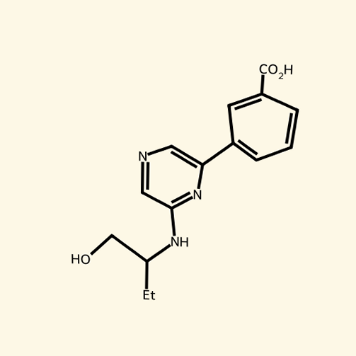 CCC(CO)Nc1cncc(-c2cccc(C(=O)O)c2)n1